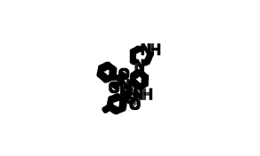 Cc1ccc(S(=O)(=O)Nc2ccc(N3CCCNCC3)cc2NS(=O)(=O)c2ccccc2)cc1